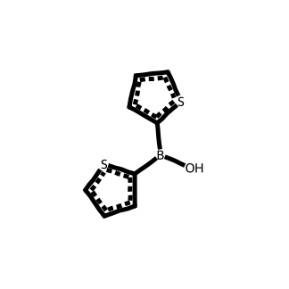 OB(c1cccs1)c1cccs1